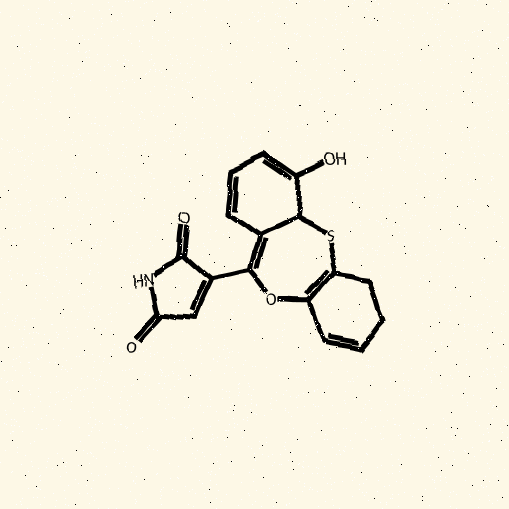 O=C1C=C(C2=C3C=CC=C(O)C3SC3=C(C=CCC3)O2)C(=O)N1